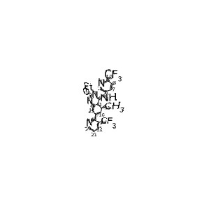 CCOc1nc(Nc2ccc(C(F)(F)F)nc2)c2c(C)cc(-c3ncccc3C(F)(F)F)cc2n1